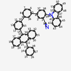 N#Cc1cc(-c2cccc(-c3cccc(-c4c5ccccc5c(-c5ccccc5)c5ccccc45)c3)c2)ccc1-n1c2ccccc2c2ccccc21